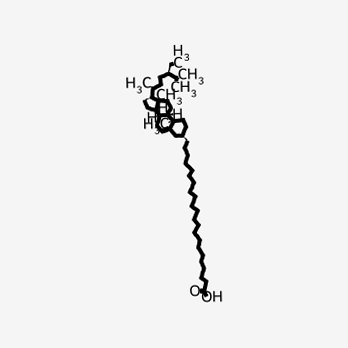 CC[C@H](CC[C@@H](C)[C@H]1CC[C@H]2[C@@H]3CC=C4C[C@@H](CCCCCCCCCCCCCCCCCCCCCC(=O)O)CC[C@]4(C)[C@H]3CC[C@]12C)C(C)C